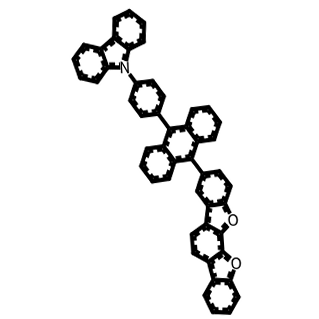 c1ccc2c(c1)oc1c2ccc2c3cc(-c4c5ccccc5c(-c5ccc(-n6c7ccccc7c7ccccc76)cc5)c5ccccc45)ccc3oc21